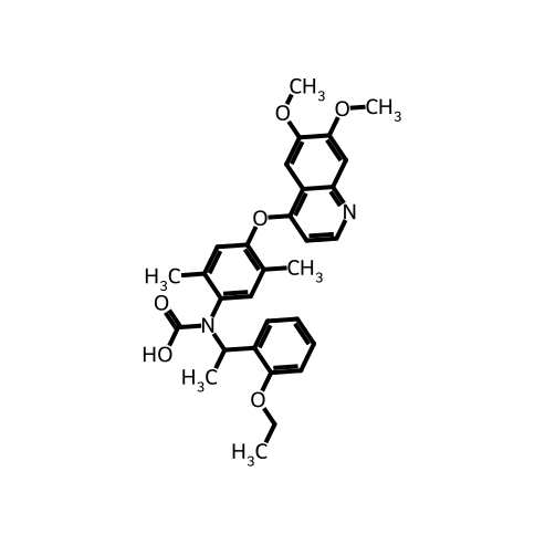 CCOc1ccccc1C(C)N(C(=O)O)c1cc(C)c(Oc2ccnc3cc(OC)c(OC)cc23)cc1C